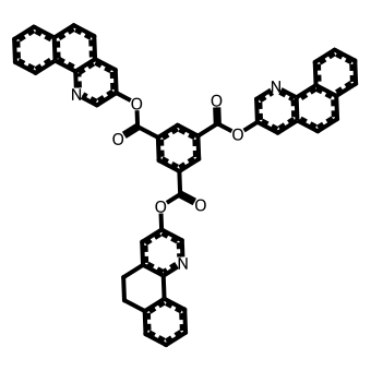 O=C(Oc1cnc2c(c1)CCc1ccccc1-2)c1cc(C(=O)Oc2cnc3c(ccc4ccccc43)c2)cc(C(=O)Oc2cnc3c(ccc4ccccc43)c2)c1